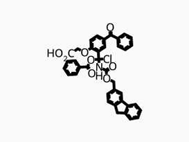 O=C(O)COc1ccc(C(=O)c2ccccc2)cc1C(Cl)(NC(=O)OCc1ccc2c(c1)-c1ccccc1C2)OC(=O)c1ccccc1